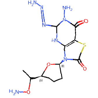 CC(ON)[C@@H]1CC[C@H](n2c3c(sc2=O)C(=O)N(N)C(N=NN)N3)O1